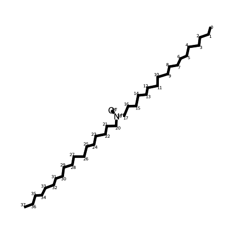 CCCCCCCCCCCCCCCCCC=[N+]([O-])CCCCCCCCCCCCCCCCCC